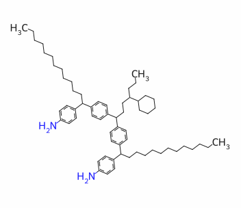 CCCCCCCCCCCCC(c1ccc(N)cc1)c1ccc(C(CCC(CCC)C2CCCCC2)c2ccc(C(CCCCCCCCCCCC)c3ccc(N)cc3)cc2)cc1